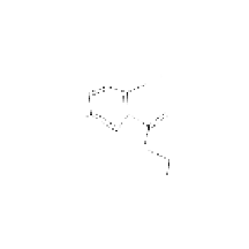 [B+2]c1ccc(Cl)c(C(=O)OCC)c1.[OH-].[OH-]